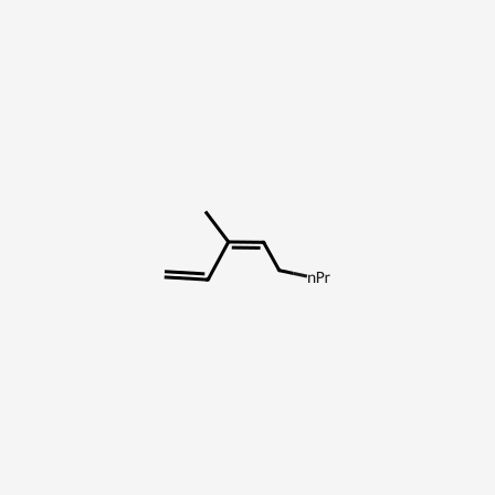 C=CC(C)=CCCCC